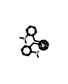 CN(C)c1ccccc1C[C]12[CH]3[CH]4[CH]5[CH]1[Fe]45321678[CH]2[CH]1[CH]6[C]7(Cc1ccccc1N(C)C)[CH]28